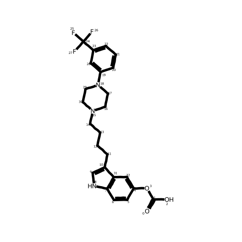 O=C(O)Oc1ccc2[nH]cc(CCCCN3CCN(c4cccc(C(F)(F)F)c4)CC3)c2c1